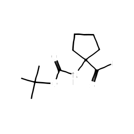 CC(C)(C)OC(=O)NC1(C(=O)I)CCCC1